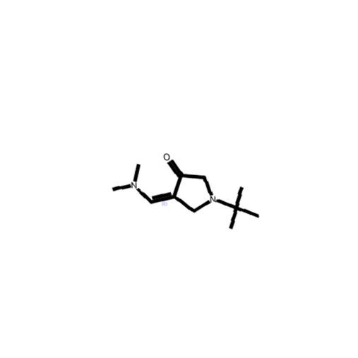 CN(C)/C=C1/CN(C(C)(C)C)CC1=O